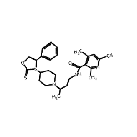 Cc1cc(C#N)nc(C)c1C(=O)NCCC(C)N1CCC(N2C(=S)OC[C@H]2c2ccccc2)CC1